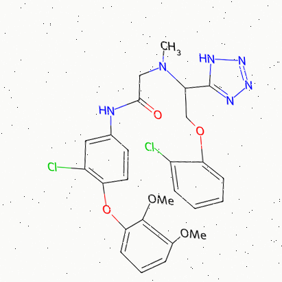 COc1cccc(Oc2ccc(NC(=O)CN(C)C(COc3ccccc3Cl)c3nnn[nH]3)cc2Cl)c1OC